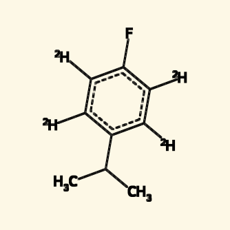 [2H]c1c([2H])c(C(C)C)c([2H])c([2H])c1F